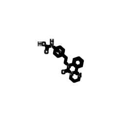 O=C(O)NC12CCC(CCN3C(=O)N4CCCN=C4c4ccccc43)(CC1)OC2